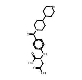 O=C(O)C[C@H](Nc1ccc(C(=O)N2CCC(C3CCNCC3)CC2)cc1)C(=O)O